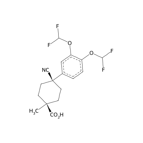 C[C@]1(C(=O)O)CC[C@](C#N)(c2ccc(OC(F)F)c(OC(F)F)c2)CC1